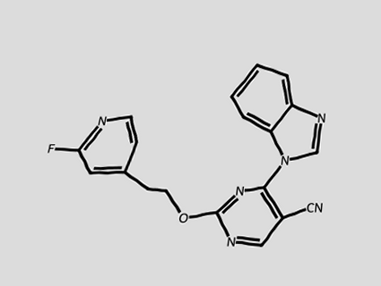 N#Cc1cnc(OCCc2ccnc(F)c2)nc1-n1cnc2ccccc21